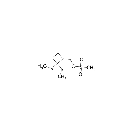 CSC1(SC)CCC1COS(C)(=O)=O